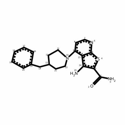 NC(=O)c1sc2nccc(N3CCC(Cc4ccccc4)CC3)c2c1N